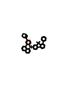 CC1(C)c2cc(N(c3ccc(C4CC5CCC4C5)cc3)c3cccc4cccc(C5CCCCC5)c34)ccc2-c2cccc(-c3ccccc3)c21